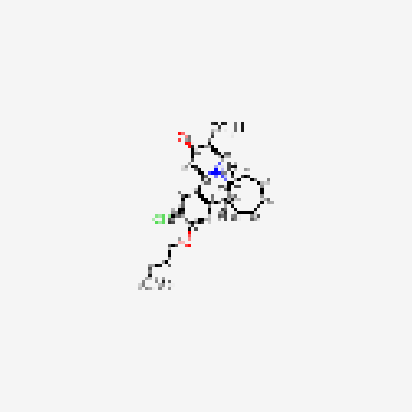 COCCCOc1cc2c(cc1Cl)-c1cc(=O)c(C(=O)O)cn1[C@@H]1CCCCC[C@@H]21